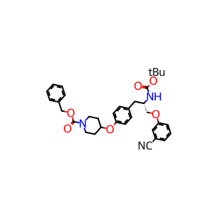 CC(C)(C)OC(=O)N[C@H](COc1cccc(C#N)c1)Cc1ccc(OC2CCN(C(=O)OCc3ccccc3)CC2)cc1